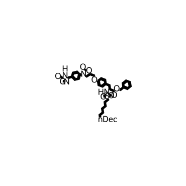 CCCCCCCCCCCCCCCCS(=O)(=O)NC(Cc1ccc(OCC2CN(c3ccc(-c4noc(=O)[nH]4)cc3)C(=O)O2)cc1)C(=O)OCc1ccccc1